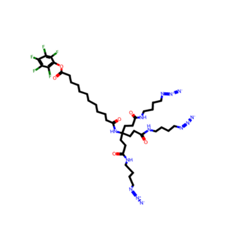 [N-]=[N+]=NCCCCNC(=O)CCC(CCC(=O)NCCCCN=[N+]=[N-])(CCC(=O)NCCCCN=[N+]=[N-])NC(=O)CCCCCCCCCCC(=O)Oc1c(F)c(F)c(F)c(F)c1F